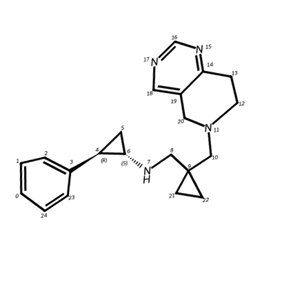 c1ccc([C@H]2C[C@@H]2NCC2(CN3CCc4ncncc4C3)CC2)cc1